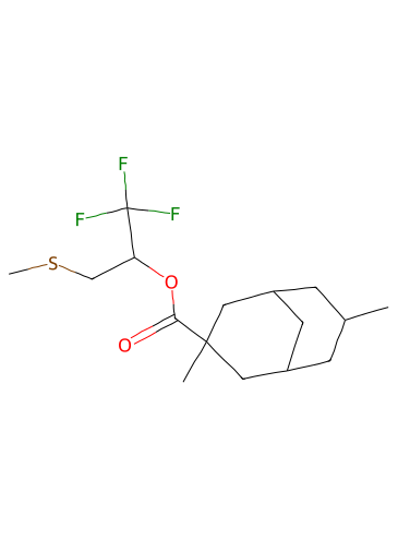 CSCC(OC(=O)C1(C)CC2CC(C)CC(C2)C1)C(F)(F)F